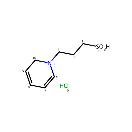 Cl.O=S(=O)(O)CCCN1C=CC=CC1